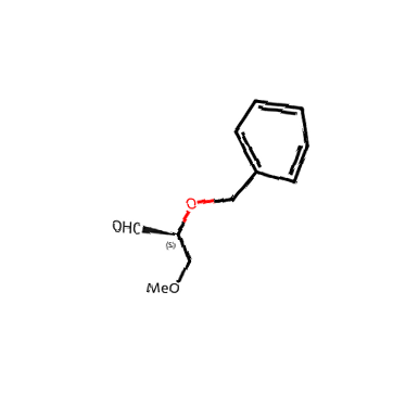 COC[C@@H](C=O)OCc1ccccc1